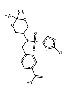 CC1(C)OCC(N(Cc2ccc(C(=O)O)cc2)S(=O)(=O)c2ccc(Cl)s2)CO1